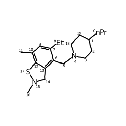 CCCC1CCN(Cc2c(CC)cc(C)c3c2CN(C)S3)CC1